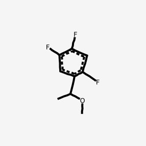 COC(C)c1cc(F)c(F)cc1F